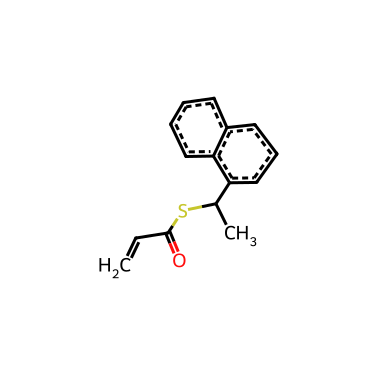 C=CC(=O)SC(C)c1cccc2ccccc12